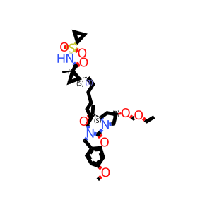 CCOCO[C@@H]1C[C@@H](C(C)=O)N(C(=O)N(CCCCC/C=C\[C@@H]2C[C@]2(C)C(=O)NS(=O)(=O)C2CC2)Cc2ccc(OC)cc2)C1